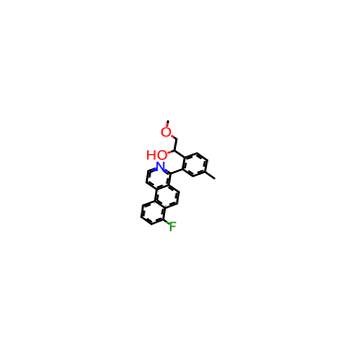 COCC(O)c1ccc(C)cc1-c1nccc2c1ccc1c(F)cccc12